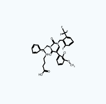 COc1cccc(-c2cn(Cc3c(F)cccc3C(F)(F)F)c(=O)n(C[C@@H](NCCCC(=O)O)c3ccccc3)c2=O)c1Cl